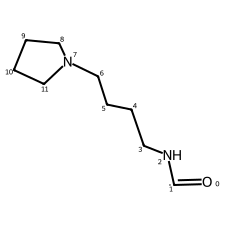 O=[C]NCCCCN1CCCC1